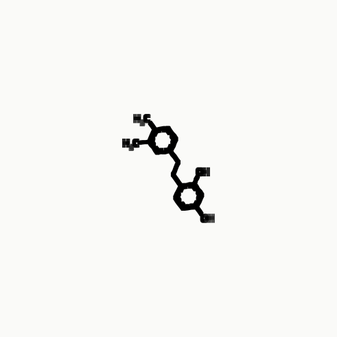 Cc1ccc(CCc2ccc(O)cc2O)cc1C